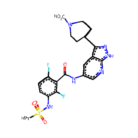 CCCS(=O)(=O)Nc1ccc(F)c(C(=O)Nc2cnc3[nH]nc(C4CCN(C(=O)O)CC4)c3c2)c1F